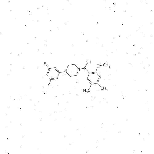 COc1nc(C)c(C)cc1N(S)N1CCN(c2cc(F)cc(F)c2)CC1